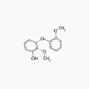 COc1ccccc1Oc1cccc(O)c1OC